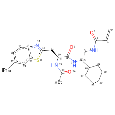 C=CC(=O)NC[C@@H](NC(=O)[C@H](Cc1nc2ccc(C(C)C)cc2s1)NC(=O)CC)C1CCCCC1